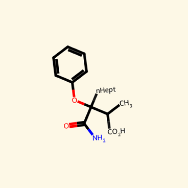 CCCCCCCC(Oc1ccccc1)(C(N)=O)C(C)C(=O)O